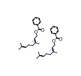 CC(C)=CCC/C(C)=C/COC(=O)c1ccccc1.CC(C)=CCC/C(C)=C/COC(=O)c1ccccc1